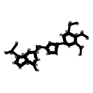 COc1cc(-n2cnc(Nc3nc(C)c4cnn(C(C)C)c4n3)c2)cc(OC)c1OC